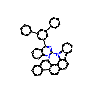 c1ccc(-c2cc(-c3ccccc3)cc(-c3nc(-n4c5ccccc5c5ccc6ccc7c8ccccc8ccc7c6c54)nc4ccccc34)c2)cc1